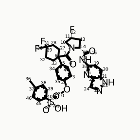 COc1ccc(C2(C(=O)N3C[C@H](F)C[C@@H]3C(=O)Nc3ccc4[nH]ncc4n3)CCC(F)(F)CC2)cc1.Cc1ccc(S(=O)(=O)O)cc1